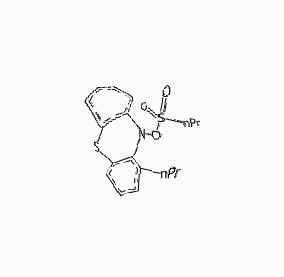 CCCc1cccc2c1N(OS(=O)(=O)CCC)c1ccccc1S2